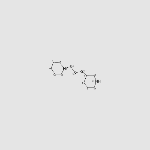 C1CCN(SSSC2CCCNC2)CC1